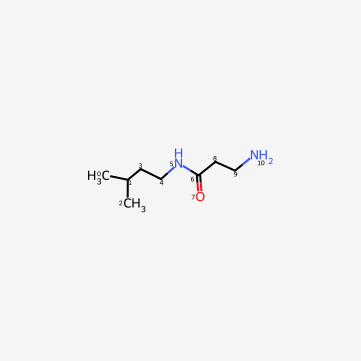 CC(C)CCNC(=O)CCN